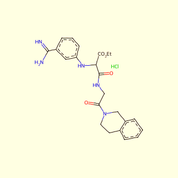 CCOC(=O)C(Nc1cccc(C(=N)N)c1)C(=O)NCC(=O)N1CCc2ccccc2C1.Cl